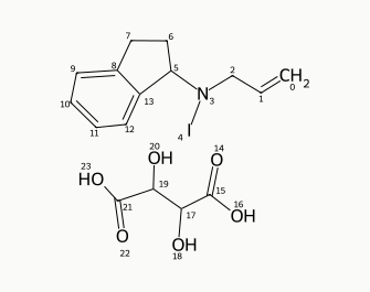 C=CCN(I)C1CCc2ccccc21.O=C(O)C(O)C(O)C(=O)O